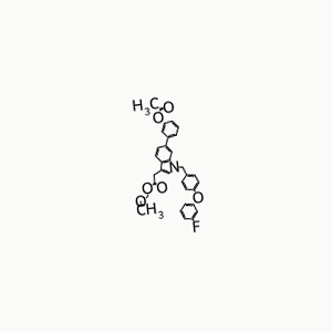 COCOC(=O)Cc1cn(Cc2ccc(Oc3cccc(F)c3)cc2)c2cc(-c3cccc(OC(C)=O)c3)ccc12